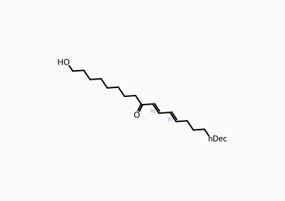 CCCCCCCCCCCCC/C=C/C=C/C(=O)CCCCCCCCO